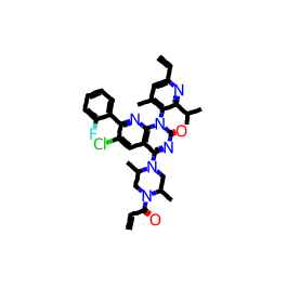 C=CC(=O)N1CC(C)N(c2nc(=O)n(-c3c(C)cc(C=C)nc3C(C)C)c3nc(-c4ccccc4F)c(Cl)cc23)CC1C